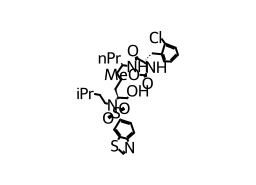 CCC[C@@H](CCC[C@@H](CO)N(CCC(C)C)S(=O)(=O)c1ccc2ncsc2c1)NC(=O)[C@H](Cc1ccccc1Cl)NC(=O)OC